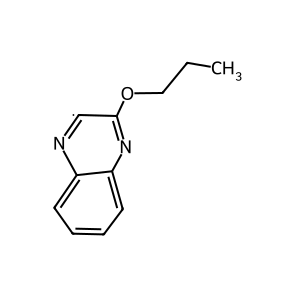 CCCOc1[c]nc2ccccc2n1